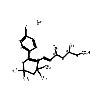 CC1(C)CC(c2ccc(F)cc2)=C(C=CC(O)CC(O)CC(=O)O)C(C)(C)C1.[Na]